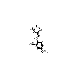 CCOC(COc1ccc(OC)cc1Cl)OCC